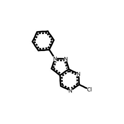 Clc1ncc2cn(-c3ccccc3)nc2n1